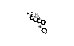 Cc1ccc(Cc2cc3c(NC4CCOCC4)cccc3nc2N)o1